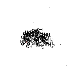 CC[C@H](C)[C@H](NC(=O)[C@H](CCCNC(=N)N)NC(=O)[C@@H](N)CC(C)C)C(=O)N[C@H](C(=O)N[C@@H](CCC(N)=O)C(=O)N[C@@H](CS)C(=O)N[C@@H](CCCNC=N)C(=O)N[C@@H](CO)C(=O)N[C@H](C(=O)N[C@@H](CCC(=O)O)C(=O)NCC(=O)N[C@@H](CO)C(=O)N[C@@H](CS)C(=O)NCC(=O)N[C@@H](Cc1ccccc1)C(=O)N[C@@H](Cc1ccc(O)cc1)C(=O)O)C(C)C)C(C)C